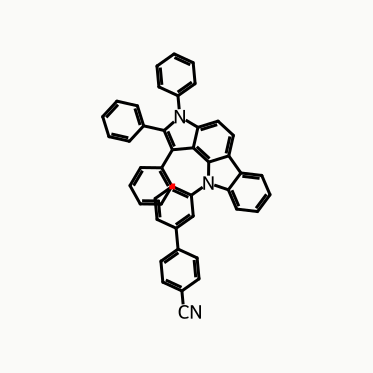 N#Cc1ccc(-c2cccc(-n3c4ccccc4c4ccc5c(c(-c6ccccc6)c(-c6ccccc6)n5-c5ccccc5)c43)c2)cc1